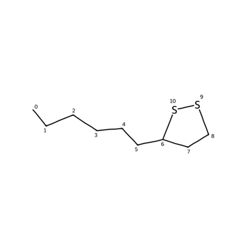 CCCCCCC1CCSS1